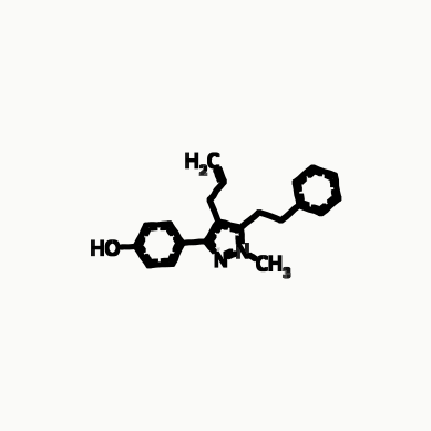 C=CCc1c(-c2ccc(O)cc2)nn(C)c1CCc1ccccc1